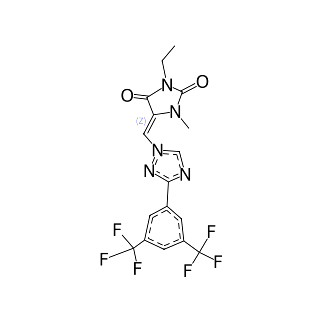 CCN1C(=O)/C(=C/n2cnc(-c3cc(C(F)(F)F)cc(C(F)(F)F)c3)n2)N(C)C1=O